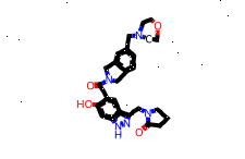 O=C1CCCN1Cc1n[nH]c2cc(O)c(C(=O)N3Cc4ccc(CN5CCOCC5)cc4C3)cc12